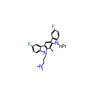 CCCn1c2ccc(F)cc2c2cc3c4cc(F)ccc4n(CCCN(C)C)c3c(C)c21